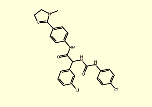 CN1CCN=C1c1ccc(NC(=O)C(NC(=O)Nc2ccc(Cl)cc2)c2cccc(Cl)c2)cc1